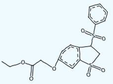 CCOC(=O)COc1ccc2c(c1)S(=O)(=O)CC2S(=O)(=O)c1ccccc1